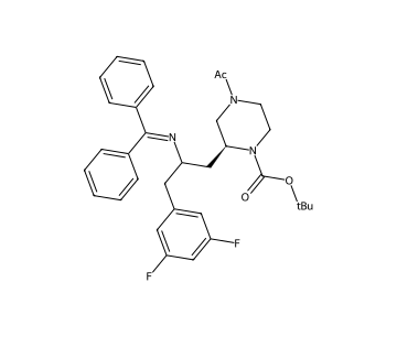 CC(=O)N1CCN(C(=O)OC(C)(C)C)[C@@H](CC(Cc2cc(F)cc(F)c2)N=C(c2ccccc2)c2ccccc2)C1